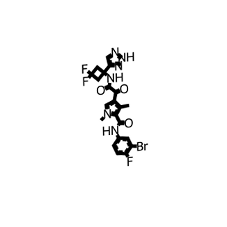 Cc1c(C(=O)C(=O)NC2(c3cn[nH]n3)CC(F)(F)C2)cn(C)c1C(=O)Nc1ccc(F)c(Br)c1